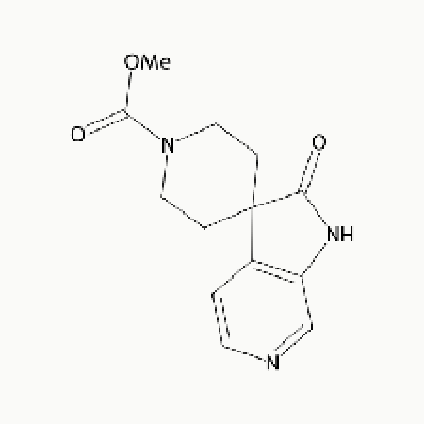 COC(=O)N1CCC2(CC1)C(=O)Nc1cnccc12